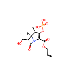 C=CCOC(=O)C1=C(OP(=O)(O)O)[C@H](C)[C@@H]2[C@@H]([C@@H](C)O)C(=O)N12